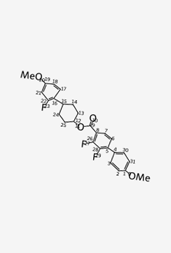 COc1ccc(-c2ccc(C(=O)OC3CCC(c4ccc(OC)cc4F)CC3)c(F)c2F)cc1